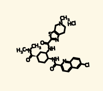 CN1CCc2nc(C(=O)N[C@@H]3C[C@@H](C(=O)N(C)C)CC[C@@H]3NC(=O)c3ccc4cc(Cl)ccc4n3)sc2C1.Cl